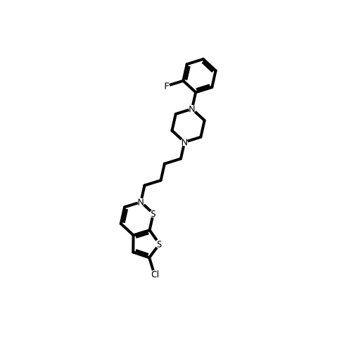 Fc1ccccc1N1CCN(CCCCN2C=Cc3cc(Cl)sc3S2)CC1